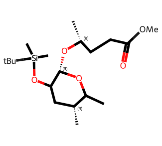 COC(=O)CC[C@@H](C)O[C@@H]1OC(C)[C@H](C)CC1O[Si](C)(C)C(C)(C)C